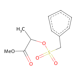 COC(=O)C(C)OS(=O)(=O)Cc1ccccc1